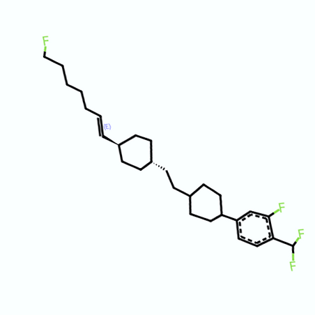 FCCCCC/C=C/[C@H]1CC[C@H](CCC2CCC(c3ccc(C(F)F)c(F)c3)CC2)CC1